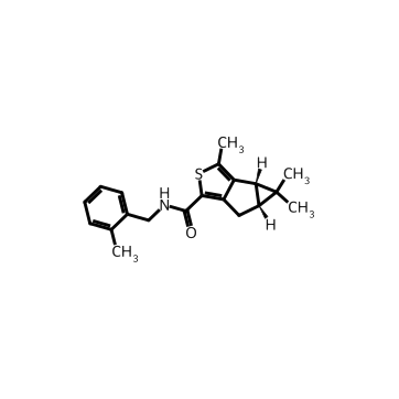 Cc1ccccc1CNC(=O)c1sc(C)c2c1C[C@@H]1[C@H]2C1(C)C